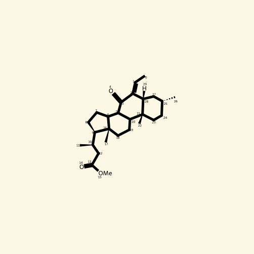 C/C=C1/C(=O)C2C3CC[C@H]([C@H](C)CC(=O)OC)[C@@]3(C)CCC2[C@@]2(C)CC[C@@H](C)C[C@@H]12